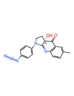 Cc1ccc2c(c1)C(=O)[C@]1(O)CCN(c3ccc(N=[N+]=[N-])cc3)C1=N2